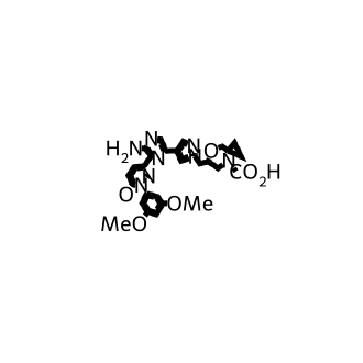 COc1cc(OC)cc(-n2nc(-c3nc(-c4cnn(CC5CN(C(=O)O)C6(CC6)CO5)c4)cnc3N)ccc2=O)c1